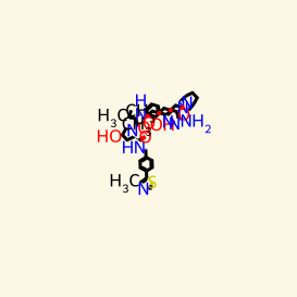 Cc1ncsc1-c1ccc(CNC(=O)[C@@H]2C[C@@H](O)CN2C(=O)[C@@H](NC(=O)CCCCCC(=O)N2C3CCC2CN(c2cc(-c4ccccc4O)nnc2N)C3)C(C)(C)C)cc1